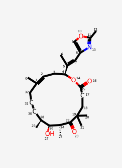 C/C1=C/C[C@@H](/C(C)=C/c2coc(C)n2)OC(=O)CCC(C)(C)C(=O)[C@H](C)[C@@H](O)[C@@H](C)CCC1